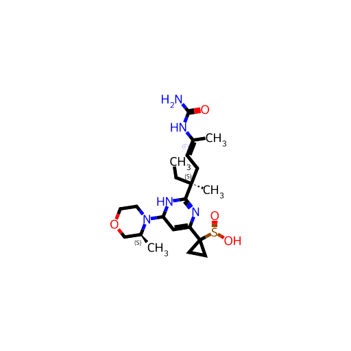 CC[C@@](C)(C/C=C(\C)NC(N)=O)C1=NC(C2(S(=O)O)CC2)=CC(N2CCOC[C@@H]2C)N1